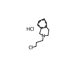 Cl.ClCCCN1CCc2ccccc2C1